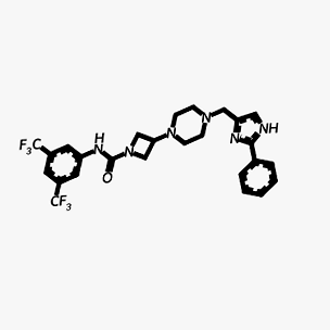 O=C(Nc1cc(C(F)(F)F)cc(C(F)(F)F)c1)N1CC(N2CCN(Cc3c[nH]c(-c4ccccc4)n3)CC2)C1